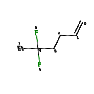 C=CCCC(F)(F)CC